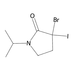 CC(C)N1CCC(Br)(I)C1=O